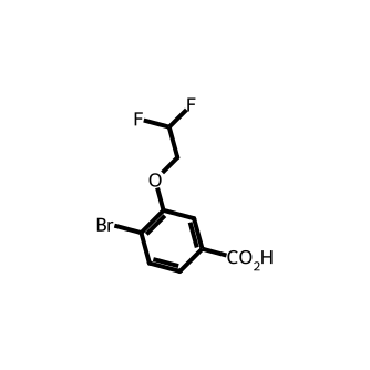 O=C(O)c1ccc(Br)c(OCC(F)F)c1